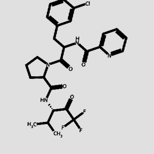 CC(C)[C@H](NC(=O)C1CCCN1C(=O)C(Cc1cccc(Cl)c1)NC(=O)c1ccccn1)C(=O)C(F)(F)F